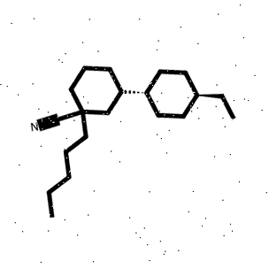 CCCCCC1(C#N)CCCC([C@H]2CC[C@H](CC)CC2)C1